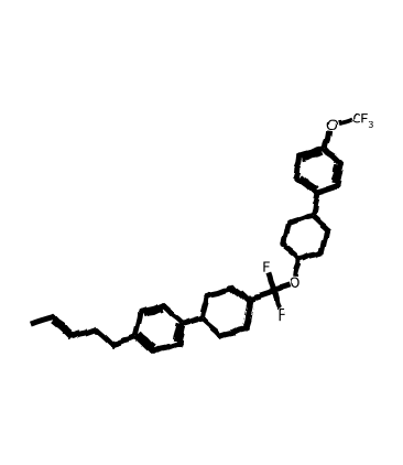 C/C=C/CCc1ccc(C2CCC(C(F)(F)OC3CCC(c4ccc(OC(F)(F)F)cc4)CC3)CC2)cc1